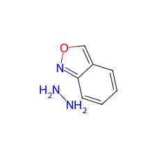 NN.c1ccc2nocc2c1